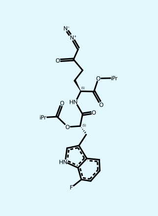 CC(C)OC(=O)[C@H](CCC(=O)C=[N+]=[N-])NC(=O)[C@H](Cc1c[nH]c2c(F)cccc12)OC(=O)C(C)C